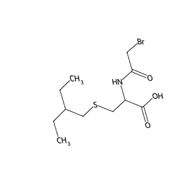 CCC(CC)CSCC(NC(=O)CBr)C(=O)O